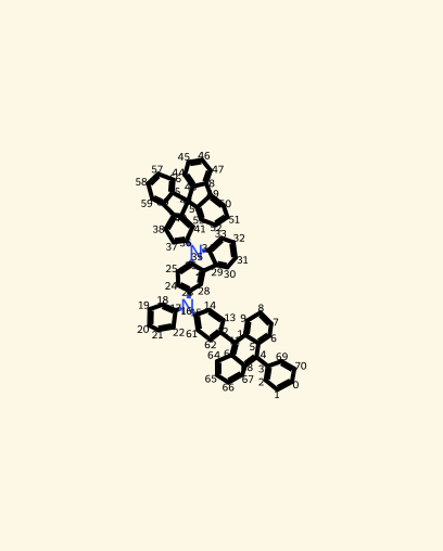 c1ccc(-c2c3ccccc3c(-c3ccc(N(c4ccccc4)c4ccc5c(c4)c4ccccc4n5-c4ccc5c(c4)C4(c6ccccc6-c6ccccc64)c4ccccc4-5)cc3)c3ccccc23)cc1